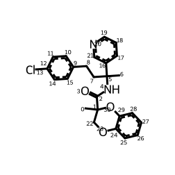 CC1(C(=O)NC(C)(CCc2ccc(Cl)cc2)c2cccnc2)COc2ccccc2O1